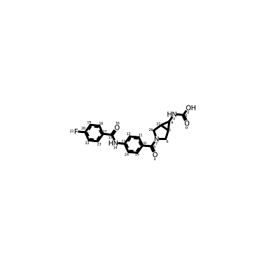 O=C(O)NC1C2CN(C(=O)c3ccc(NC(=O)c4ccc(F)cc4)cc3)CC21